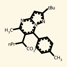 CCCC(C(=O)O)c1c(C)nc2cc(C(C)(C)C)nn2c1-c1ccc(C)cc1